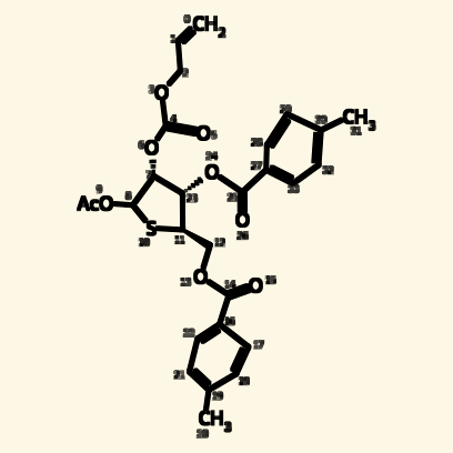 C=CCOC(=O)O[C@H]1C(OC(C)=O)S[C@H](COC(=O)c2ccc(C)cc2)[C@H]1OC(=O)c1ccc(C)cc1